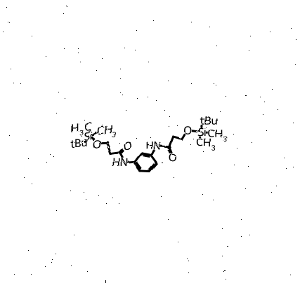 CC(C)(C)[Si](C)(C)OCCC(=O)Nc1cccc(NC(=O)CCO[Si](C)(C)C(C)(C)C)c1